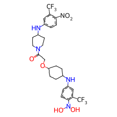 O=C(COC1CCC(Nc2ccc(N(O)O)c(C(F)(F)F)c2)CC1)N1CCC(Nc2ccc([N+](=O)[O-])c(C(F)(F)F)c2)CC1